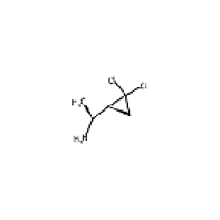 C[C@H](N)[C@@H]1CC1(Cl)Cl